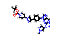 Cn1cc(Nc2ncc3ncn(-c4ccc(-c5cnn(C6CCN(C(=O)OC(C)(C)C)CC6)c5)cc4)c3n2)cn1